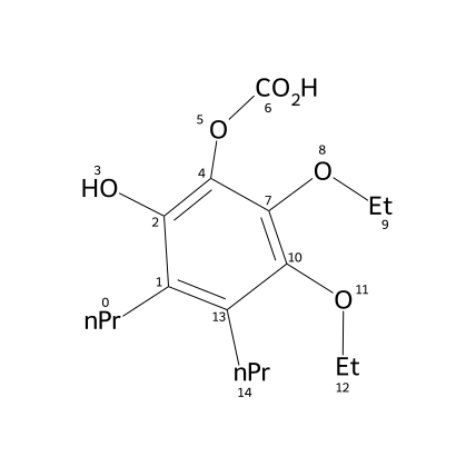 CCCc1c(O)c(OC(=O)O)c(OCC)c(OCC)c1CCC